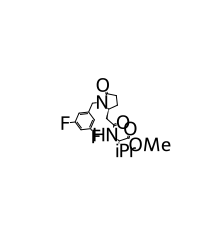 COC(=O)[C@@H](NC(=O)C[C@@H]1CCC(=O)N1Cc1cc(F)cc(F)c1)C(C)C